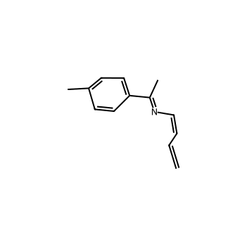 C=C/C=C\N=C(/C)c1ccc(C)cc1